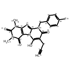 C#CCc1c(O)n2c3c(=O)n(C)c(=O)n(C)c3nc2n(Cc2ccc(F)cc2)c1=O